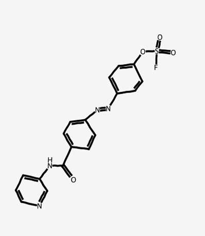 O=C(Nc1cccnc1)c1ccc(/N=N/c2ccc(OS(=O)(=O)F)cc2)cc1